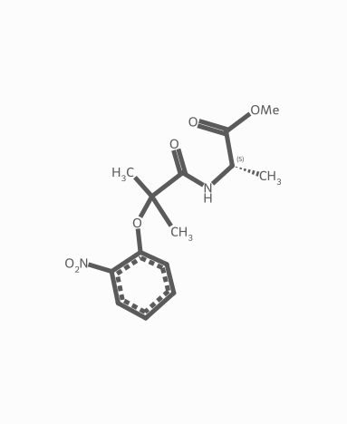 COC(=O)[C@H](C)NC(=O)C(C)(C)Oc1ccccc1[N+](=O)[O-]